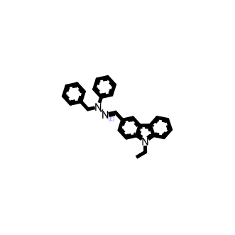 CCn1c2ccccc2c2cc(/C=N/N(Cc3ccccc3)c3ccccc3)ccc21